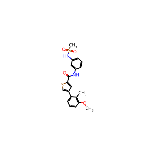 COc1cccc(-c2csc(C(=O)Nc3cccc(NS(C)(=O)=O)c3)c2)c1C